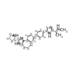 CN[C@@H](C)c1ncc(-c2ccc(-c3ccc4c(c3)CCCc3[nH]c([C@@H]5CCCN5)nc3-4)cc2)[nH]1